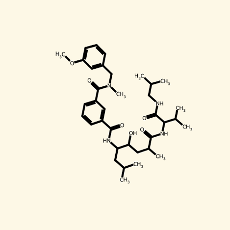 COc1cccc(CN(C)C(=O)c2cccc(C(=O)NC(CC(C)C)C(O)CC(C)C(=O)NC(C(=O)NCC(C)C)C(C)C)c2)c1